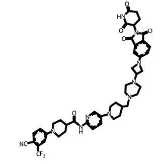 N#Cc1ccc(N2CCC(C(=O)Nc3ccc(N4CCC(CN5CCN(C6CN(c7ccc8c(c7)C(=O)N(C7CCC(=O)NC7=O)C8=O)C6)CC5)CC4)cn3)CC2)cc1C(F)(F)F